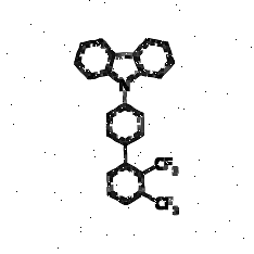 FC(F)(F)c1cccc(-c2ccc(-n3c4ccccc4c4ccccc43)cc2)c1C(F)(F)F